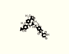 Cc1ccc(-c2c(C)noc2C)cc1N(C[C@H]1C[C@@H]1CNc1cc2c(cc1F)CN(C1CCC(=O)NC1=O)C2=O)c1ccc(C2(C#N)CC2)cc1